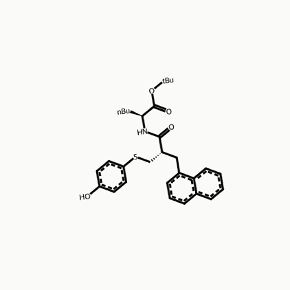 CCCC[C@H](NC(=O)[C@@H](CSc1ccc(O)cc1)Cc1cccc2ccccc12)C(=O)OC(C)(C)C